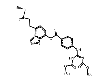 CC(C)(C)OC(=O)CCc1ccc(OC(=O)c2ccc(N/C(=N/C(=O)OC(C)(C)C)NC(=O)OC(C)(C)C)cc2)c2nccn12